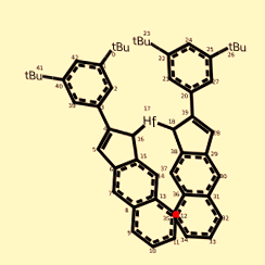 CC(C)(C)c1cc(C2=Cc3cc4ccccc4cc3[CH]2[Hf][CH]2C(c3cc(C(C)(C)C)cc(C(C)(C)C)c3)=Cc3cc4ccccc4cc32)cc(C(C)(C)C)c1